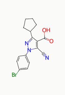 N#Cc1c(C(=O)O)c(C2CCCC2)nn1-c1ccc(Br)cc1